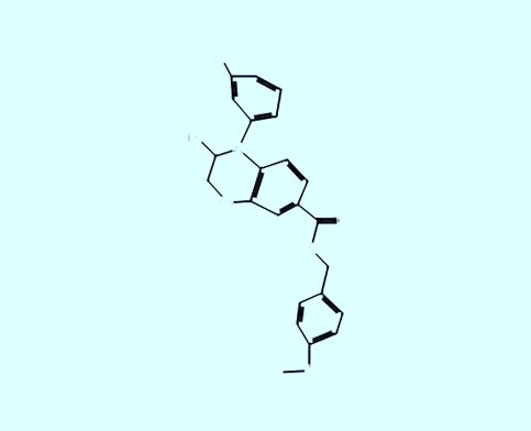 CCSc1ccc(CNC(=O)c2ccc3c(c2)OCC(C(C)C)N3c2cccc(C(F)(F)F)c2)cc1